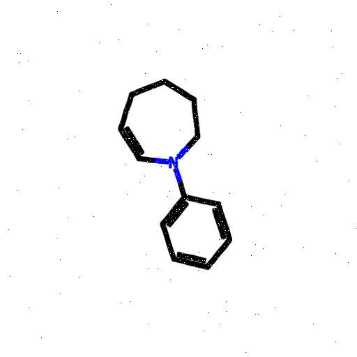 C1=CN(c2ccccc2)CCCC1